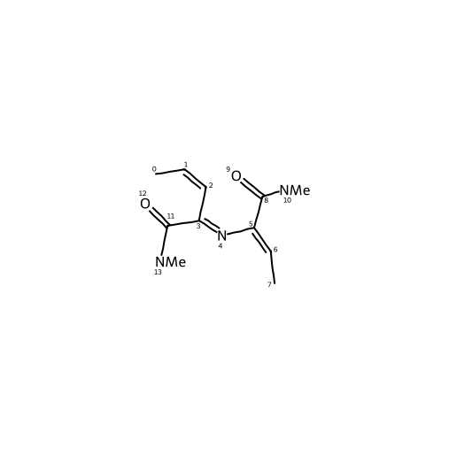 C\C=C/C(=N\C(=C/C)C(=O)NC)C(=O)NC